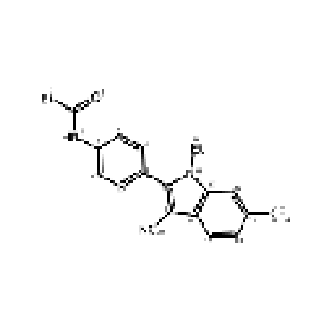 CCC(=O)Nc1ccc(-c2c(C#N)c3ccc(C(F)(F)F)cc3n2CC)cc1